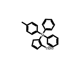 CCCCC1=C([Si](c2ccccc2)(c2ccccc2)c2ccc(C)cc2)CC=C1